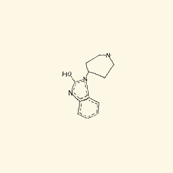 Oc1nc2ccccc2n1C1CC[N]CC1